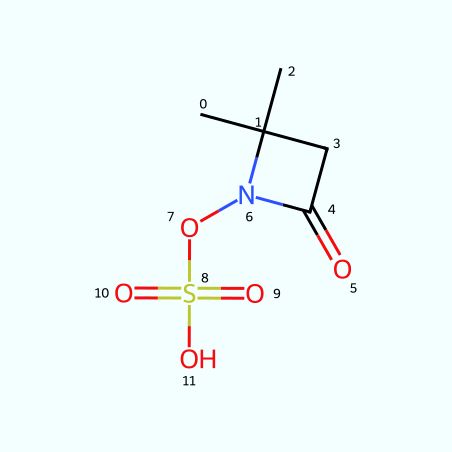 CC1(C)CC(=O)N1OS(=O)(=O)O